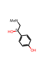 CNC[C@H](O)c1ccc(O)cc1